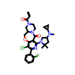 C=CC(=O)N1CCN2C(=O)c3c(N4CC(N(C)C5CC5)CC4(C)C)nc(-c4ccccc4F)c(Cl)c3OCC2C1